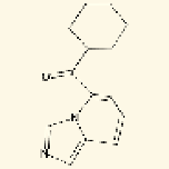 O=C(c1cccc2cncn12)C1CCCCC1